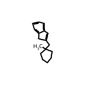 CC1(CC2=Cc3ccccc3[CH]2)CCCCC1